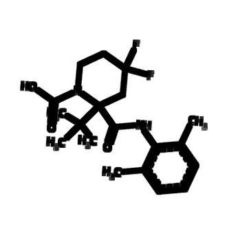 Cc1cccc(C)c1NC(=O)C1(C(C)(C)C)CC(F)(F)CCN1C(=O)O